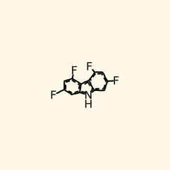 Fc1cc(F)c2c(c1)[nH]c1cc(F)cc(F)c12